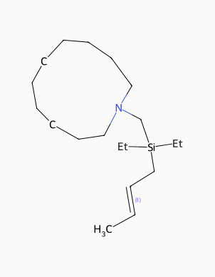 C/C=C/C[Si](CC)(CC)CN1CCCCCCCCCC1